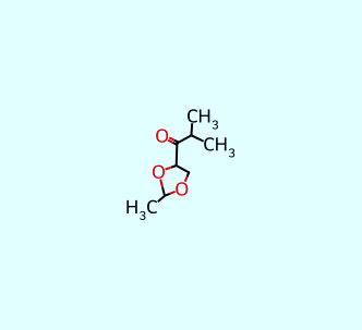 CC1OCC(C(=O)C(C)C)O1